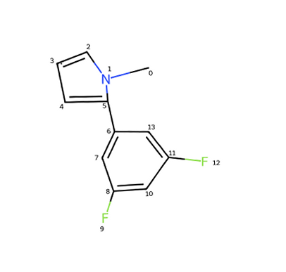 Cn1c[c]cc1-c1cc(F)cc(F)c1